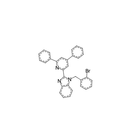 Brc1ccccc1Cn1c(-c2cc(-c3ccccc3)cc(-c3ccccc3)n2)nc2ccccc21